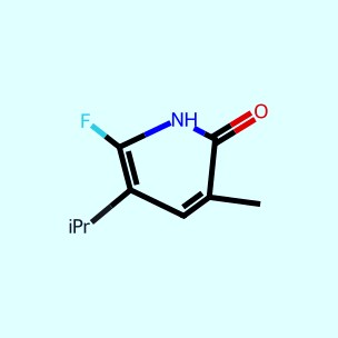 Cc1cc(C(C)C)c(F)[nH]c1=O